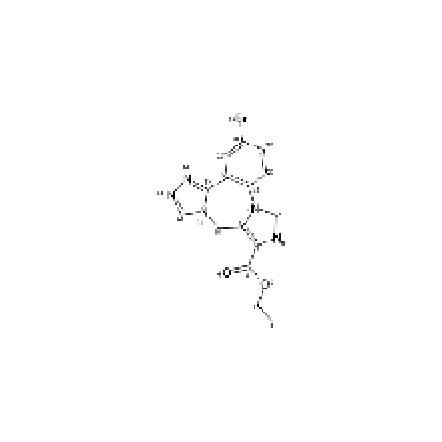 CCOC(=O)c1ncn2c1Cn1cnnc1-c1cc(Br)ccc1-2